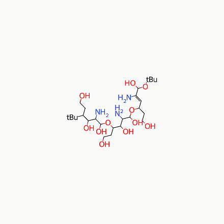 CC(C)(C)OC(O)/C(N)=C/C(CCO)OC(O)C(N)C(O)C(CCO)OC(O)C(N)C(O)C(CCO)C(C)(C)C